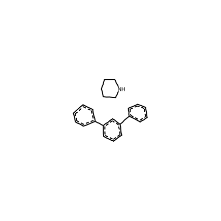 C1CCNCC1.c1ccc(-c2cccc(-c3ccccc3)c2)cc1